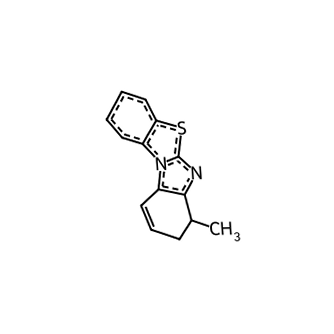 CC1CC=Cc2c1nc1sc3ccccc3n21